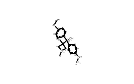 CC(C)Oc1ccc([C@@](O)(c2ccc(OC(F)(F)F)cc2)C2(C)CN(C)C2)cc1